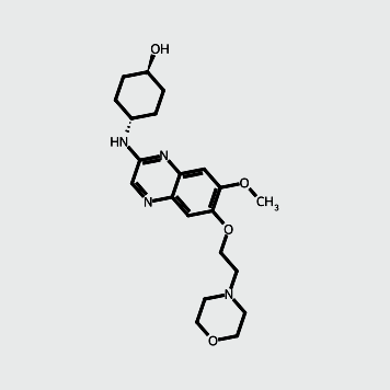 COc1cc2nc(N[C@H]3CC[C@H](O)CC3)cnc2cc1OCCN1CCOCC1